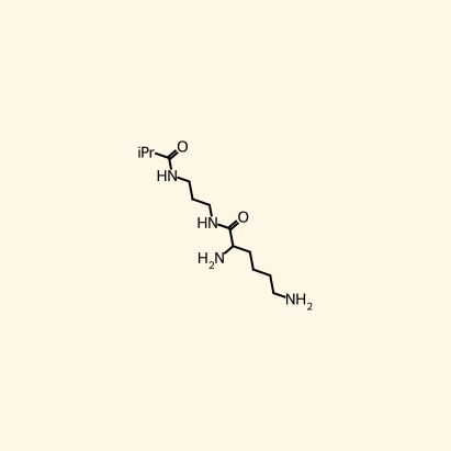 CC(C)C(=O)NCCCNC(=O)C(N)CCCCN